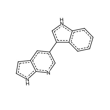 c1ccc2c(-c3cnc4[nH]ccc4c3)c[nH]c2c1